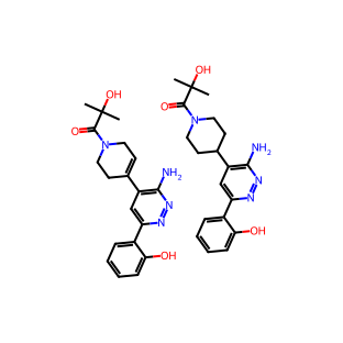 CC(C)(O)C(=O)N1CC=C(c2cc(-c3ccccc3O)nnc2N)CC1.CC(C)(O)C(=O)N1CCC(c2cc(-c3ccccc3O)nnc2N)CC1